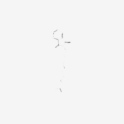 O=C(Cl)OCCOCCOCCN1C(=O)c2ccccc2C1=O